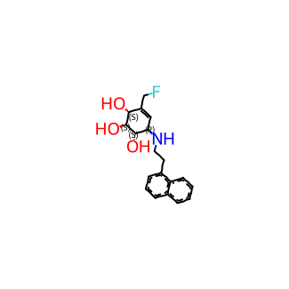 O[C@@H]1[C@@H](O)[C@@H](O)C(CF)=C[C@H]1NCCc1cccc2ccccc12